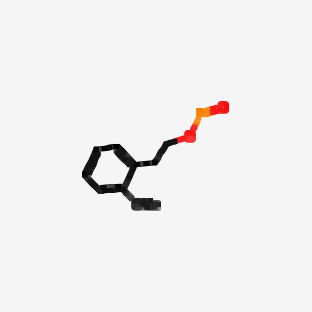 COc1ccccc1CCOP=O